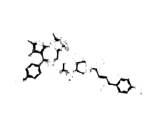 COc1ccc(C(=O)/C=C/C(=O)N2C[C@@H](N(C)C(=O)C[C@@H]3N=C(c4ccc(Cl)cc4)c4c(sc(C)c4C)-n4c(C)nnc43)[C@@H](C)C2)cc1